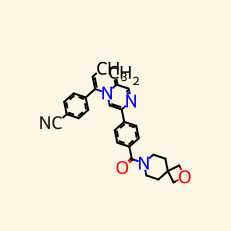 C=C1C=NC(c2ccc(C(=O)N3CCC4(CC3)COC4)cc2)=CN1/C(=C\C)c1ccc(C#N)cc1